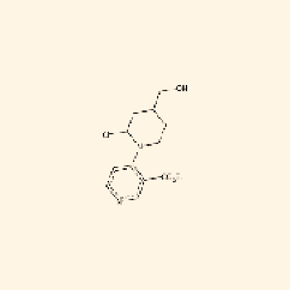 CCOC(=O)c1cnccc1N1CCC(CO)CC1Cl